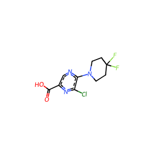 O=C(O)c1cnc(N2CCC(F)(F)CC2)c(Cl)n1